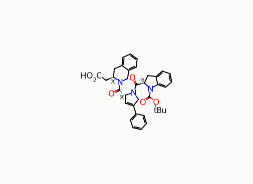 CC(C)(C)OC(=O)N1c2ccccc2C[C@@H]1C(=O)N1CC(c2ccccc2)=C[C@@H]1C(=O)N1Cc2ccccc2C[C@@H]1CC(=O)O